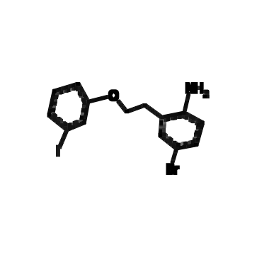 Nc1ccc(Br)cc1CCOc1cccc(I)c1